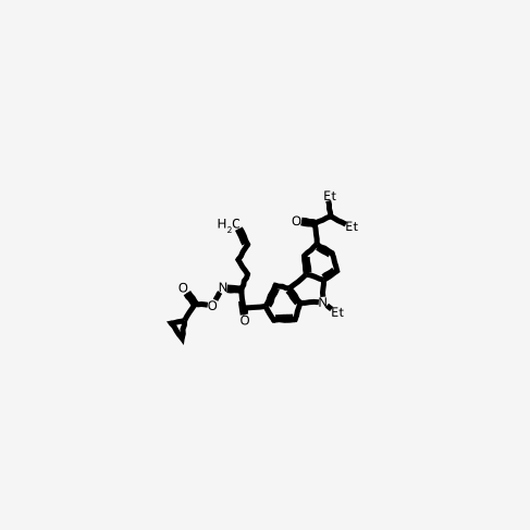 C=CCC/C(=N/OC(=O)C1CC1)C(=O)c1ccc2c(c1)c1cc(C(=O)C(CC)CC)ccc1n2CC